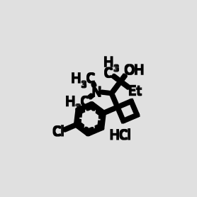 CCC(C)(O)C(N(C)C)C1(c2ccc(Cl)cc2)CCC1.Cl